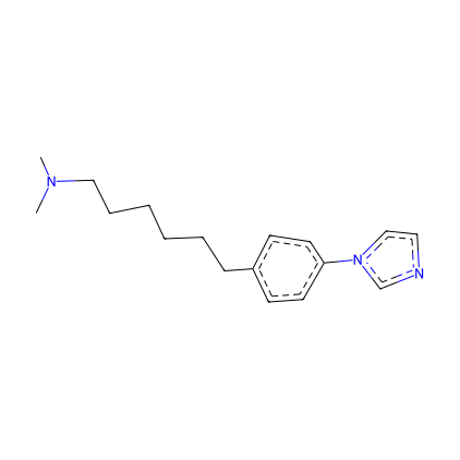 CN(C)CCCCCCc1ccc(-n2ccnc2)cc1